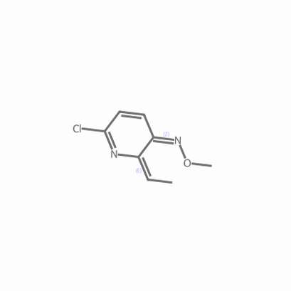 C/C=C1/N=C(Cl)C=C/C1=N/OC